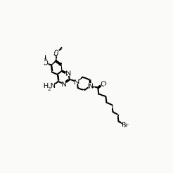 COc1cc2nc(N3CCN(C(=O)CCCCCCCBr)CC3)nc(N)c2cc1OC